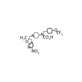 C[C@]1(CN2CCC(N(Cc3ccc(OC(F)(F)F)cc3)C(=O)O)CC2)Cn2cc([N+](=O)[O-])nc2O1